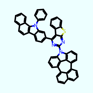 c1ccc(-n2c3cc(-c4nc(-n5c6cccc7c6c6c(cccc65)-c5cccc6cccc-7c56)nc5sc6ccccc6c45)ccc3c3ccc4ccccc4c32)cc1